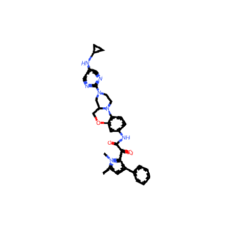 Cc1cc(-c2ccccc2)c(C(=O)C(=O)Nc2ccc3c(c2)OCC2CN(c4ncc(NC5CC5)cn4)CCN32)n1C